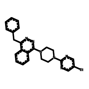 CCc1cnc(N2CCN(c3nnc(Cc4ccccc4)c4ccccc34)CC2)nc1